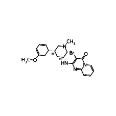 COC1=CC=CC([C@H]2C[C@@H](Nc3nc4ccccn4c(=O)c3Br)CN(C)C2)C1